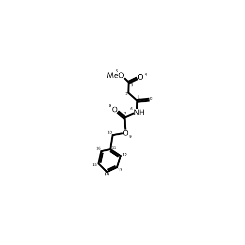 C=C(CC(=O)OC)NC(=O)OCc1ccccc1